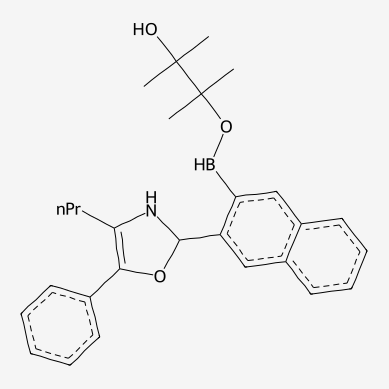 CCCC1=C(c2ccccc2)OC(c2cc3ccccc3cc2BOC(C)(C)C(C)(C)O)N1